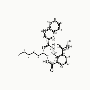 CCCCCCC[C@H](NC(=O)c1cnc2ccccc2n1)c1c(C(=O)O)cccc1C(=O)NC